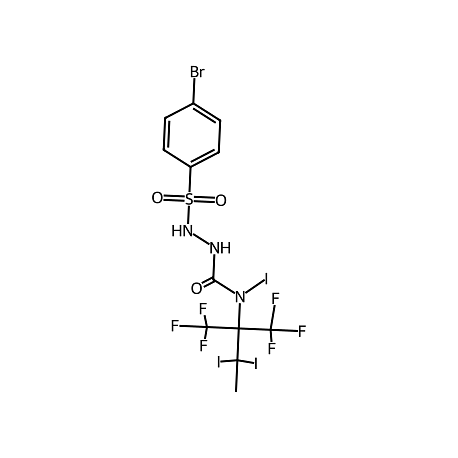 CC(I)(I)C(N(I)C(=O)NNS(=O)(=O)c1ccc(Br)cc1)(C(F)(F)F)C(F)(F)F